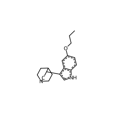 CCCOc1ccc2[nH]cc(C3CN4CCC3CC4)c2c1